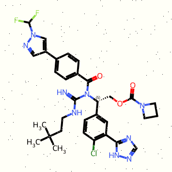 CC(C)(C)CCNC(=N)N(C(=O)c1ccc(-c2cnn(C(F)F)c2)cc1)[C@H](COC(=O)N1CCC1)c1ccc(Cl)c(-c2ncn[nH]2)c1